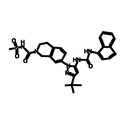 CC(C)(C)c1cc(NC(=O)Nc2cccc3ccccc23)n(-c2ccc3c(c2)CN(C(=O)NS(C)(=O)=O)CC3)n1